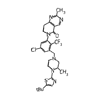 Cc1ncc2c(n1)CCN(c1cc(Cl)cc(CN3CCN(c4ncc(C(C)(C)C)s4)C(C)C3)c1C(F)(F)F)C2=O